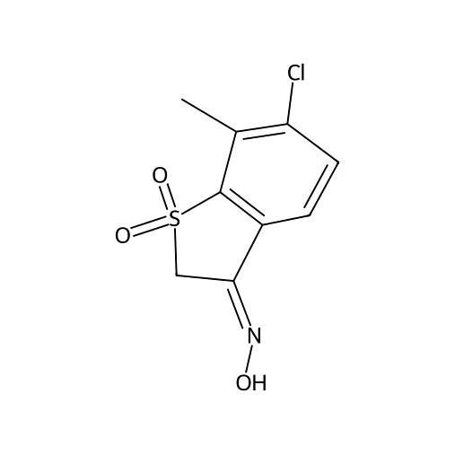 Cc1c(Cl)ccc2c1S(=O)(=O)CC2=NO